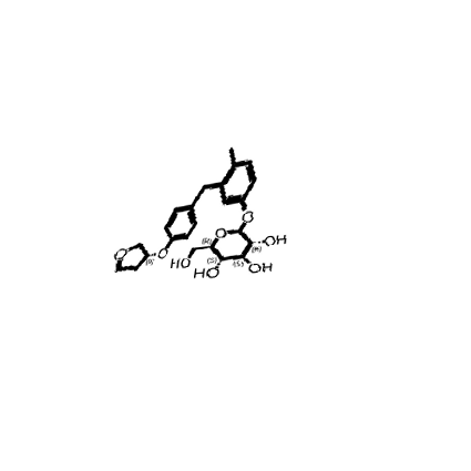 Cc1ccc(OC2O[C@H](CO)[C@@H](O)[C@H](O)[C@H]2O)cc1Cc1ccc(O[C@@H]2CCOC2)cc1